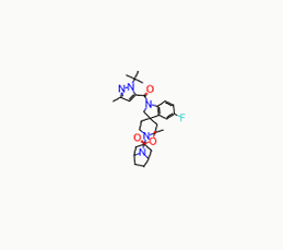 CCOC(=O)N1C2CCC1CC(N1CCC3(CC1)CN(C(=O)c1cc(C)nn1C(C)(C)C)c1ccc(F)cc13)C2